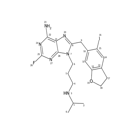 CC(C)NCCCn1c(Cc2cc3c(cc2I)CCO3)nc2c(N)nc(F)nc21